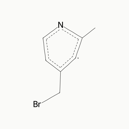 Cc1[c]c(CBr)ccn1